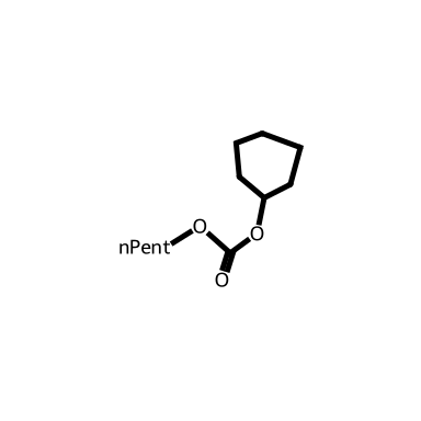 [CH2]CCCCOC(=O)OC1CCCCC1